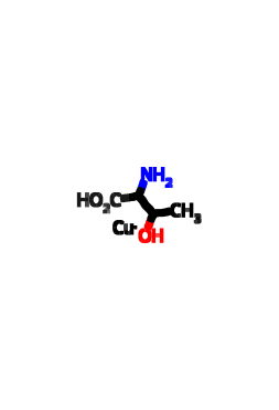 CC(O)C(N)C(=O)O.[Cu]